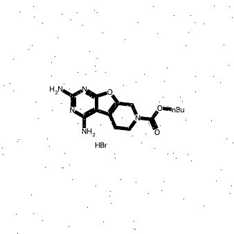 Br.CCCCOC(=O)N1CCc2c(oc3nc(N)nc(N)c23)C1